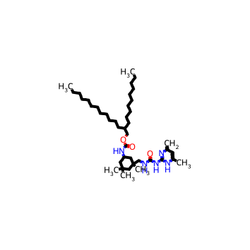 C=C1C=C(C)NC(NC(=O)NCC2(C)CC(NC(=O)OCC(CCCCCCCCCC)CCCCCCCCCCCC)CC(C)(C)C2)=N1